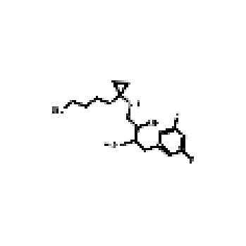 CC(=O)NC(Cc1cc(F)cc(F)c1)C(O)CNC1(CCCCC(C)(C)C)CC1